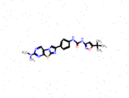 CN(C)c1ncc2c(n1)sc1nc(-c3ccc(NC(=O)Nc4cc(C(C)(C)C)on4)cc3)cn12